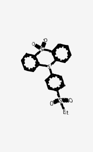 CCS(=O)(=O)c1ccc([S+]2c3ccccc3S(=O)(=O)c3ccccc32)cc1